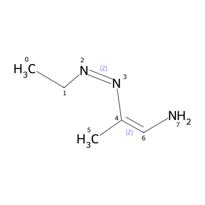 CC/N=N\C(C)=C/N